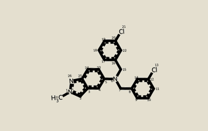 Cn1cc2cc(N(Cc3cccc(Cl)c3)Cc3cccc(Cl)c3)ccc2n1